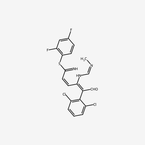 C/N=C\NC(/C=C\C(=N)Sc1ccc(F)cc1F)=C(\C=O)c1c(Cl)cccc1Cl